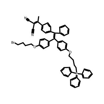 CC(=C(C#N)C#N)c1ccc(/C(=C(\c2ccc(OCCCCBr)cc2)c2ccc(OCCCC[PH](c3ccccc3)(c3ccccc3)c3ccccc3)cc2)c2ccccc2)cc1